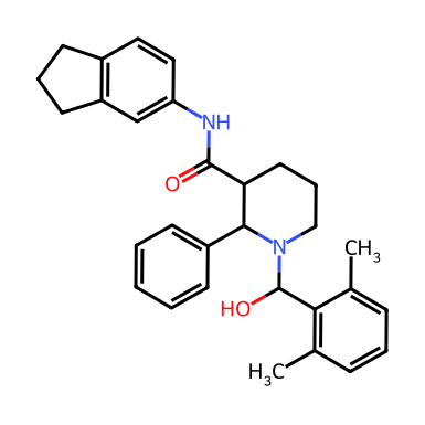 Cc1cccc(C)c1C(O)N1CCCC(C(=O)Nc2ccc3c(c2)CCC3)C1c1ccccc1